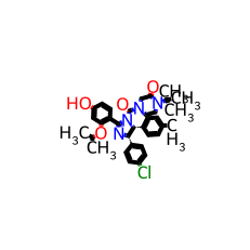 Cc1ccc([C@@H]2[C@H](c3ccc(Cl)cc3)N=C(c3ccc(O)cc3OC(C)C)N2C(=O)N2CCN(C(C)(C)C)C(=O)C2)cc1